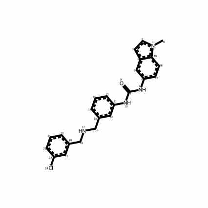 Cn1ccc2cc(NC(=O)Nc3cccc(CNCc4cccc(Cl)c4)c3)ccc21